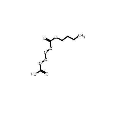 CCCCOC(=O)OOOOC(=O)O